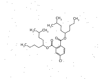 CCCCC(CCC(C)C)OC(=O)c1ccc(Cl)cc1C(=O)OC(CCCC)CCC(C)C